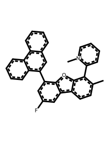 Cc1ccc2c(oc3c(-c4cc5ccccc5c5ccccc45)cc(F)cc32)c1-c1cccc[n+]1C